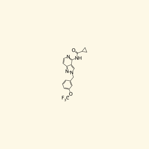 O=C(Nc1nccc2nn(Cc3cccc(OC(F)(F)F)c3)cc12)C1CC1